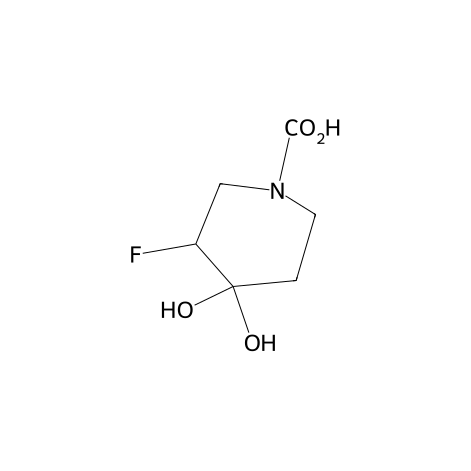 O=C(O)N1CCC(O)(O)C(F)C1